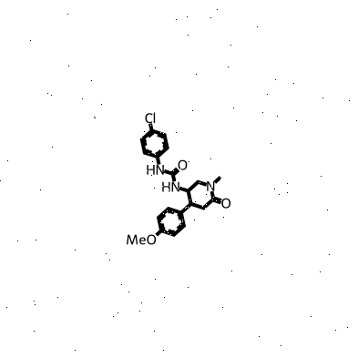 COc1ccc(C2CC(=O)N(C)CC2NC(=O)Nc2ccc(Cl)cc2)cc1